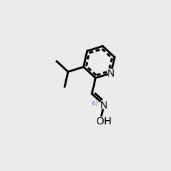 CC(C)c1cccnc1/C=N/O